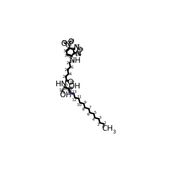 CCCCCCCCCCCCC/C=C/[C@@H](O)[C@H](CO)NC(=O)CCCCCNc1ccc([N+](=O)[O-])c2nonc12